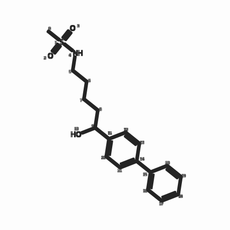 CS(=O)(=O)NCCCCC(O)c1ccc(-c2ccccc2)cc1